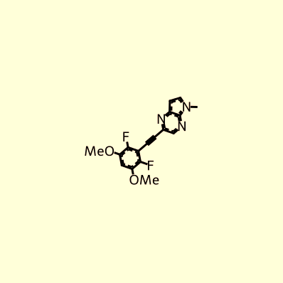 COc1cc(OC)c(F)c(C#Cc2cnc3c(ccn3C)n2)c1F